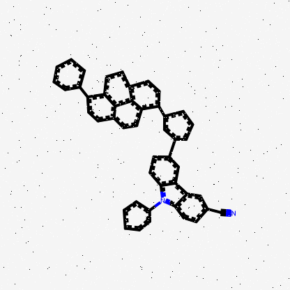 N#Cc1ccc2c(c1)c1cc(-c3cccc(-c4ccc5ccc6c(-c7ccccc7)ccc7ccc4c5c76)c3)ccc1n2-c1ccccc1